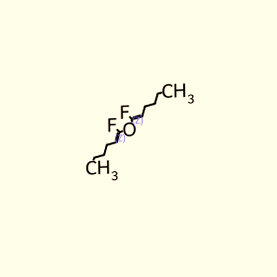 CCCC/C=C(\F)O/C(F)=C/CCCC